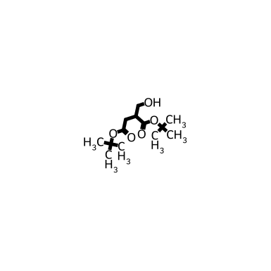 CC(C)(C)OC(=O)CC(CO)C(=O)OC(C)(C)C